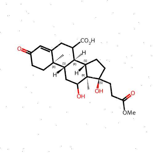 COC(=O)CC[C@@]1(O)CC[C@H]2[C@@H]3C(C(=O)O)CC4=CC(=O)CC[C@]4(C)[C@H]3CC(O)[C@@]21C